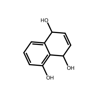 Oc1cccc2c1C(O)C=CC2O